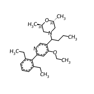 CCCC(c1cnc(-c2c(CC)cccc2CC)cc1OCC)N1C[C@@H](C)O[C@H](C)C1